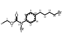 CCOC(=O)N(Br)c1ccc(CCCCBr)cc1